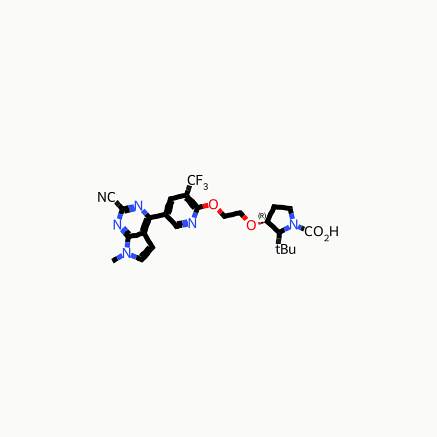 Cn1ccc2c(-c3cnc(OCCO[C@@H]4CCN(C(=O)O)C4C(C)(C)C)c(C(F)(F)F)c3)nc(C#N)nc21